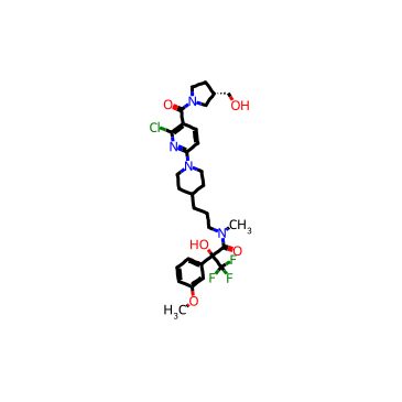 COc1cccc(C(O)(C(=O)N(C)CCCC2CCN(c3ccc(C(=O)N4CC[C@H](CO)C4)c(Cl)n3)CC2)C(F)(F)F)c1